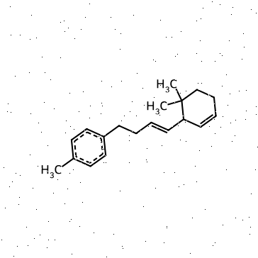 Cc1ccc(CCC=CC2C=CCCC2(C)C)cc1